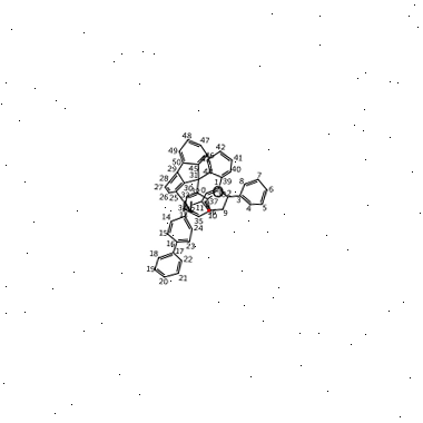 C1=CC(c2ccccc2)CC=C1N(c1ccc(-c2ccccc2)cc1)c1cccc2c1C1(c3ccccc3Oc3ccccc31)c1ccccc1-2